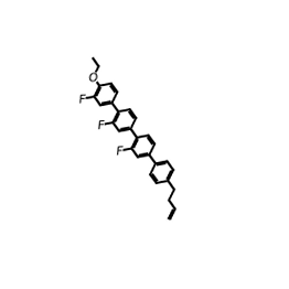 C=CCCc1ccc(-c2ccc(-c3ccc(-c4ccc(OCC)c(F)c4)c(F)c3)c(F)c2)cc1